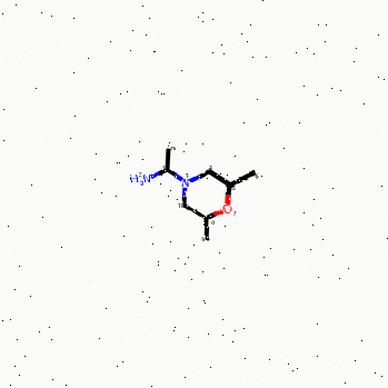 [CH2]C(N)N1CC(C)OC(C)C1